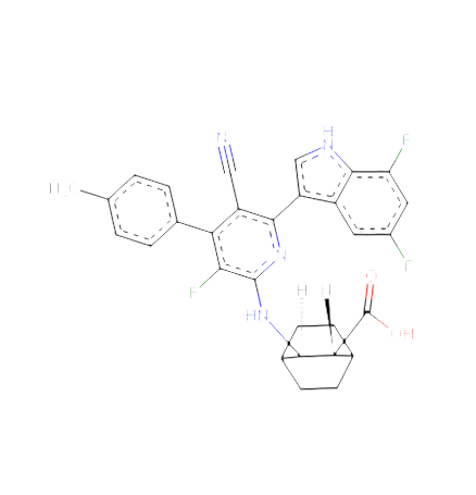 Cc1ccc(-c2c(F)c(N[C@@H]3C4CCC(CC4)[C@H]3C(=O)O)nc(-c3c[nH]c4c(F)cc(F)cc34)c2C#N)cc1